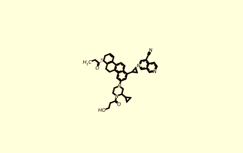 CCC(=O)[C@@H]1CC=CC2=C1CCc1c2ccc2c(C3CC3)cc(N3CCN(C(=O)CCO)C(C4CC4)C3)cc12.N#Cc1cncc2cnccc12